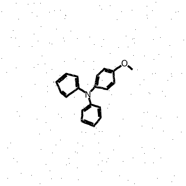 COc1ccc(N(c2cc[c]cc2)c2ccccc2)cc1